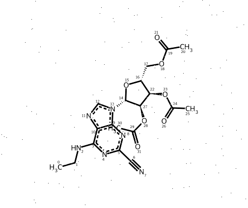 CCNc1nc(C#N)nc2c1ncn2[C@@H]1O[C@H](COC(C)=O)[C@@H](OC(C)=O)[C@H]1OC(C)=O